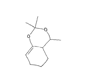 CC1OC(C)(C)OC2=CCCCC21